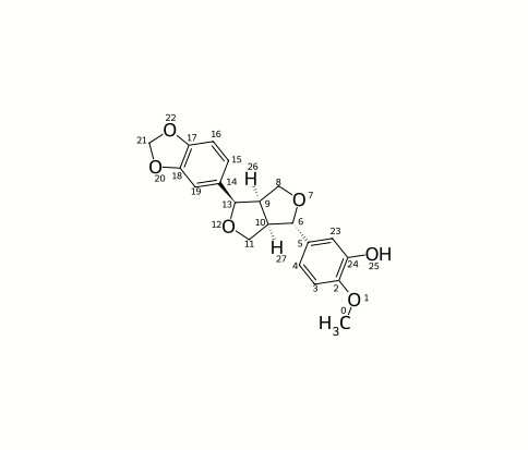 COc1ccc([C@H]2OC[C@H]3[C@@H]2CO[C@H]3c2ccc3c(c2)OCO3)cc1O